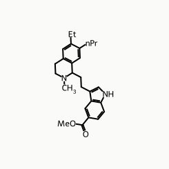 CCCc1cc2c(cc1CC)CCN(C)C2CCc1c[nH]c2ccc(C(=O)OC)cc12